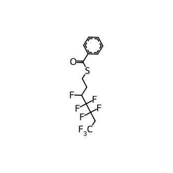 O=C(SCCC(F)C(F)(F)C(F)(F)CC(F)(F)F)c1ccccc1